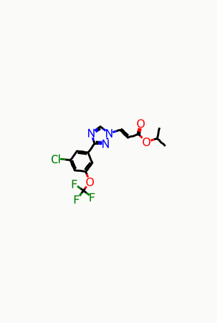 CC(C)OC(=O)C=Cn1cnc(-c2cc(Cl)cc(OC(F)(F)F)c2)n1